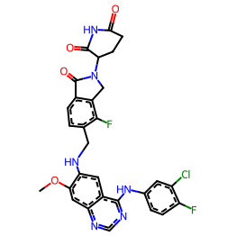 COc1cc2ncnc(Nc3ccc(F)c(Cl)c3)c2cc1NCc1ccc2c(c1F)CN(C1CCC(=O)NC1=O)C2=O